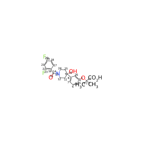 CC(C)(Oc1cccc(C2(O)CCN(C(=O)c3ccc(F)cc3F)CC2)c1)C(=O)O